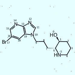 O[C@H]1CCCN[C@@H]1CCCn1cnc2ncc(Br)cc21